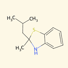 CC(C)CC1(C)Nc2ccccc2S1